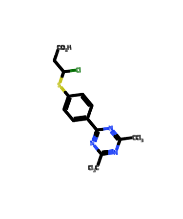 O=C(O)CC(Cl)Sc1ccc(-c2nc(C(Cl)(Cl)Cl)nc(C(Cl)(Cl)Cl)n2)cc1